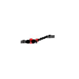 CCCCCCCCCCCCCCCCCCCCOC(C)c1ccc(C(=O)Oc2ccc(CCCC)cc2)cc1